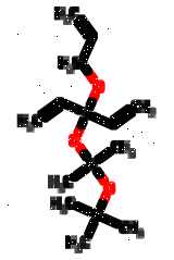 C=C[SiH2]O[Si](C=C)(C=C)O[Si](C)(C)O[Si](C)(C)C